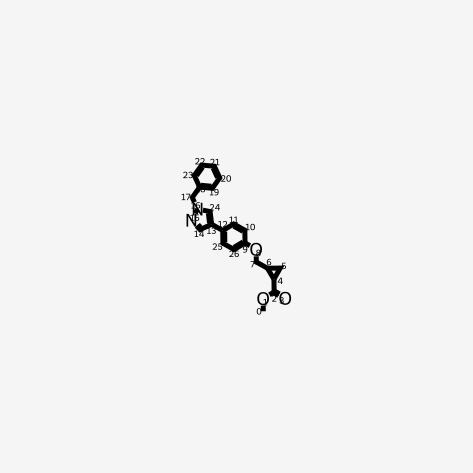 COC(=O)C1CC1COc1ccc(-c2cnn(Cc3ccccc3)c2)cc1